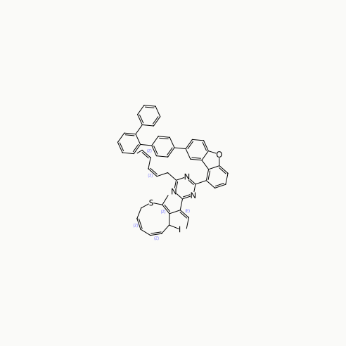 C/C=C\C=C/Cc1nc(C(=C/C)/C2=C(\C)SC/C=C\C=C/C2I)nc(-c2cccc3oc4ccc(-c5ccc(-c6ccccc6-c6ccccc6)cc5)cc4c23)n1